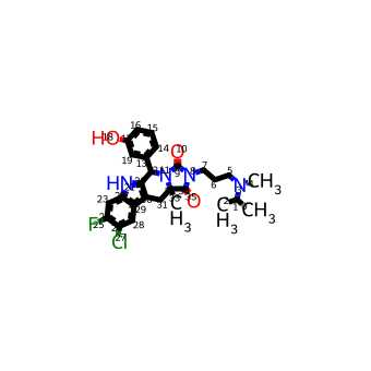 CC(C)N(C)CCCN1C(=O)N2C(c3cccc(O)c3)c3[nH]c4cc(F)c(Cl)cc4c3CC2(C)C1=O